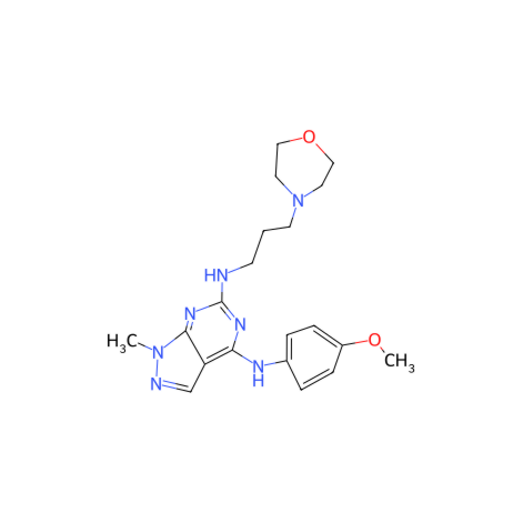 COc1ccc(Nc2nc(NCCCN3CCOCC3)nc3c2cnn3C)cc1